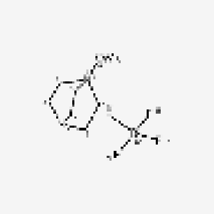 CO[N+]12CCN(CC1)CC2.F[B-](F)(F)F